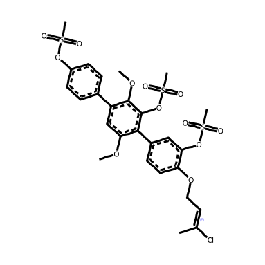 COc1cc(-c2ccc(OS(C)(=O)=O)cc2)c(OC)c(OS(C)(=O)=O)c1-c1ccc(OC/C=C(\C)Cl)c(OS(C)(=O)=O)c1